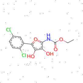 CCOC(=O)Nc1oc(-c2cc(Cl)ccc2Cl)c(O)c1O